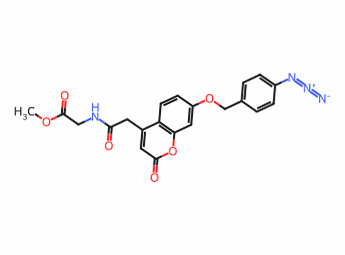 COC(=O)CNC(=O)Cc1cc(=O)oc2cc(OCc3ccc(N=[N+]=[N-])cc3)ccc12